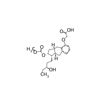 CC[C@H](O)CC[C@@H]1[C@H]2Cc3cccc(OCC(=O)O)c3C[C@H]2C[C@H]1OC(=O)OC